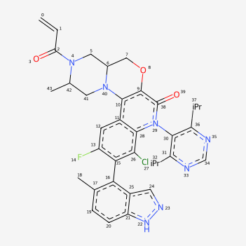 C=CC(=O)N1CC2COc3c(c4cc(F)c(-c5c(C)ccc6[nH]ncc56)c(Cl)c4n(-c4c(C(C)C)ncnc4C(C)C)c3=O)N2CC1C